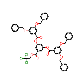 O=C(OCC(Cl)(Cl)Cl)c1cc(OC(=O)c2cc(OCc3ccccc3)cc(OCc3ccccc3)c2)cc(OC(=O)c2cc(OCc3ccccc3)cc(OCc3ccccc3)c2)c1